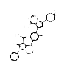 [2H]C1(O)CCC(c2cc(-c3ccc(C4OCCn5c4c(C(N)=O)c(=O)n5-c4ccccc4)cc3F)c3c(N)ncnn23)CC1